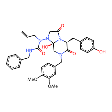 C=CCN(C(=O)NCc1ccccc1)N1CC(=O)N2[C@@H](Cc3ccc(O)cc3)C(=O)N(Cc3ccc(OC)c(OC)c3)C[C@@]21O